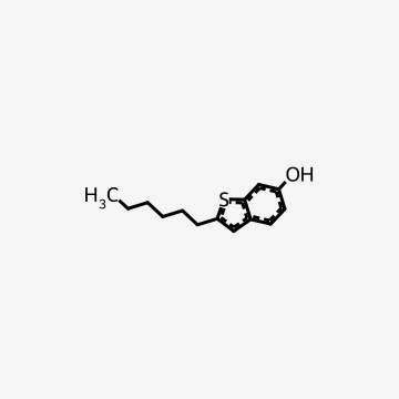 CCCCCCc1cc2ccc(O)cc2s1